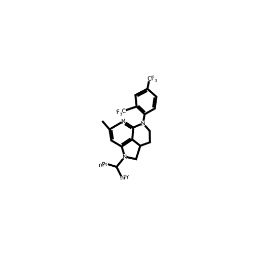 CCCC(CCC)N1CC2CCN(c3ccc(C(F)(F)F)cc3C(F)(F)F)c3nc(C)cc1c32